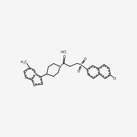 Cc1ccc2ncc(C3CCN(C(=O)CCS(=O)(=O)c4ccc5cc(Cl)ccc5c4)CC3)n2c1.Cl